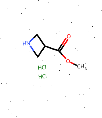 COC(=O)C1CNC1.Cl.Cl